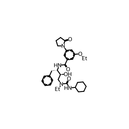 CCOc1cc(C(=O)N[C@@H](Cc2ccccc2)[C@@H](O)CN(CC)C(=O)NC2CCCCC2)cc(N2CCCC2=O)c1